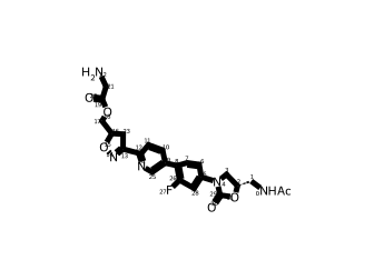 CC(=O)NC[C@H]1CN(c2ccc(-c3ccc(C4=NOC(COC(=O)CN)C4)nc3)c(F)c2)C(=O)O1